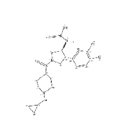 CN(C(=O)O)[C@@H]1CN(C(=O)C2CCN(CC3CC3)CC2)C[C@H]1c1ccc(Cl)c(Cl)c1